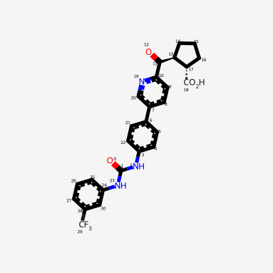 O=C(Nc1ccc(-c2ccc(C(=O)[C@H]3CCC[C@@H]3C(=O)O)nc2)cc1)Nc1cccc(C(F)(F)F)c1